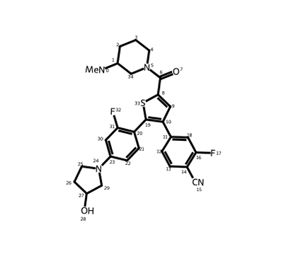 CNC1CCCN(C(=O)c2cc(-c3ccc(C#N)c(F)c3)c(-c3ccc(N4CCC(O)C4)cc3F)s2)C1